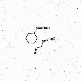 C=CCN=C=O.O=C=NC1CCCCC1